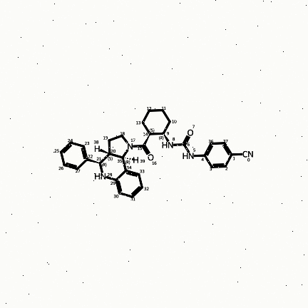 N#Cc1ccc(NC(=O)N[C@@H]2CCCC[C@@H]2C(=O)N2CC[C@H]3[C@H](c4ccccc4)Nc4ccccc4[C@@H]32)cc1